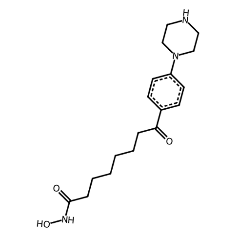 O=C(CCCCCCC(=O)c1ccc(N2CCNCC2)cc1)NO